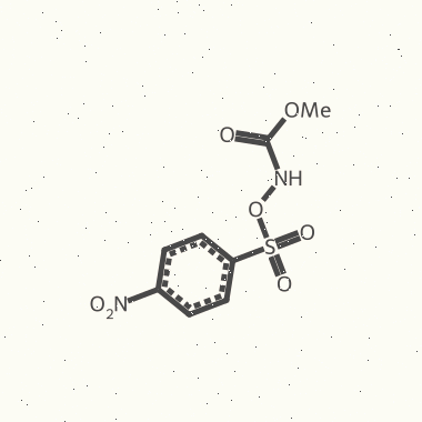 COC(=O)NOS(=O)(=O)c1ccc([N+](=O)[O-])cc1